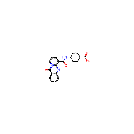 O=C(N[C@H]1CC[C@@H](C(=O)O)CC1)c1cccn2c(=O)c3ccccc3nc12